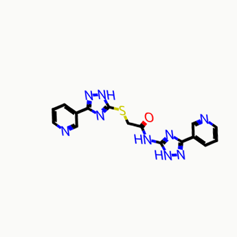 O=C(CSc1nc(-c2cccnc2)n[nH]1)Nc1nc(-c2cccnc2)n[nH]1